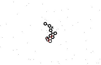 CC1(C)c2ccc(-c3ccccc3)cc2-c2ccc(N(c3ccc(C45CC6CC(CC(C6)C4)C5)cc3)c3ccccc3-c3ccc(C4CCCCC4)cc3)cc21